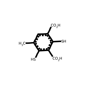 Cc1cc(C(=O)O)c(S)c(C(=O)O)c1S